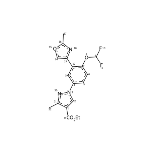 CCOC(=O)c1cn(-c2ccc(OC(F)F)c(-c3coc(C)n3)c2)nc1C